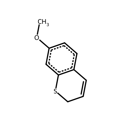 COc1ccc2c(c1)SCC=C2